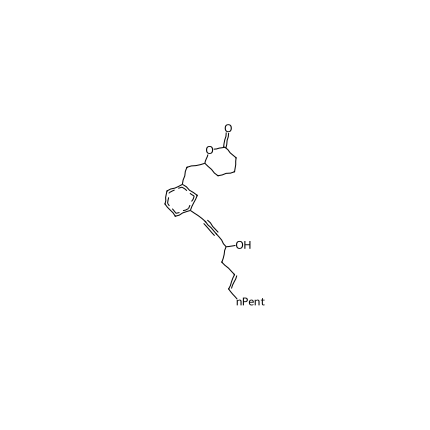 CCCCC/C=C/CC(O)C#Cc1cccc(CC2CCCC(=O)O2)c1